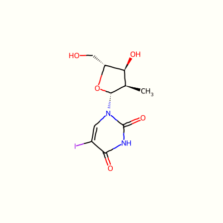 C[C@@H]1[C@H](O)[C@@H](CO)O[C@H]1n1cc(I)c(=O)[nH]c1=O